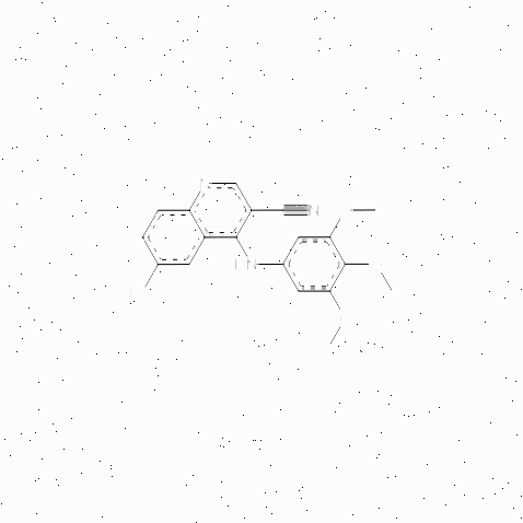 COc1cc(Nc2c(C#N)cnc3ccc(Br)cc23)cc(OC)c1OC